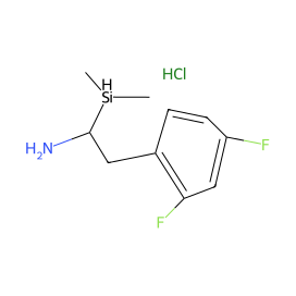 C[SiH](C)C(N)Cc1ccc(F)cc1F.Cl